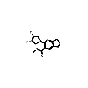 COC(=O)c1cc2c(nc1N1C[C@H](F)[C@@H](F)C1)COC2